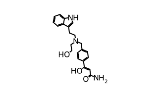 NC(=O)/C=C(\O)c1ccc(CN(CCO)CCc2c[nH]c3ccccc23)cc1